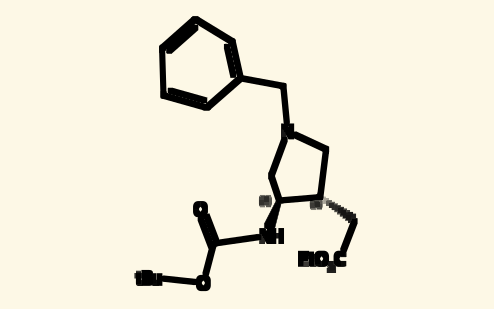 CCOC(=O)C[C@H]1CN(Cc2ccccc2)C[C@@H]1NC(=O)OC(C)(C)C